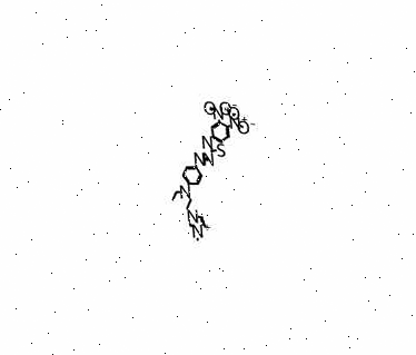 CCN(CCn1cc[n+](C)c1)c1ccc(N=Nc2nc3cc([N+](=O)[O-])c([N+](=O)[O-])cc3s2)cc1